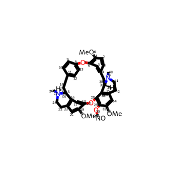 COc1ccc2cc1Oc1ccc(cc1)C[C@H]1c3cc(c(OC)cc3CCN1C)Oc1c(ON=O)c(OC)cc3c1[C@H](C2)N(C)CC3